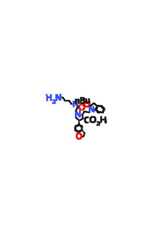 CCCCN(CCCCN)C(=O)CN1C[C@H](c2ccc3c(c2)CCO3)[C@@H](C(=O)O)[C@@H]1CCN1C(=O)Cc2ccccc21